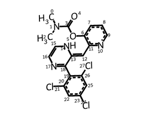 CN(C)C(=O)Oc1cccnc1C=C1NC=CN=C1c1c(Cl)cc(Cl)cc1Cl